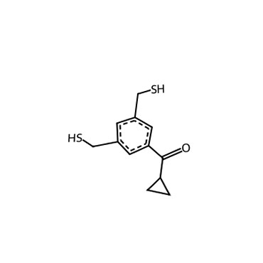 O=C(c1cc(CS)cc(CS)c1)C1CC1